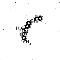 Cc1ccc(S(=O)(=O)NC(=O)C(C)c2ccc3cc(OCc4ccc5ccccc5n4)ccc3c2)cc1